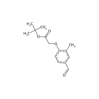 Cc1cc(C=O)ccc1OCC(=O)OC(C)(C)C